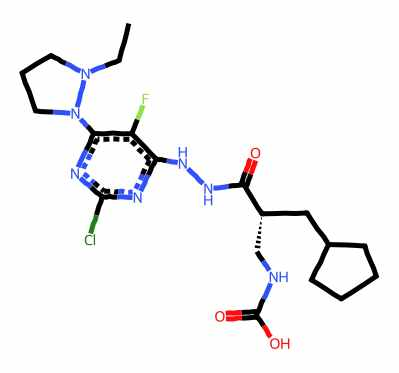 CCN1CCCN1c1nc(Cl)nc(NNC(=O)[C@@H](CNC(=O)O)CC2CCCC2)c1F